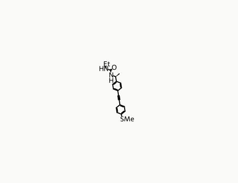 CCNC(=O)N[C@@H](C)c1ccc(C#Cc2ccc(SC)cc2)cc1